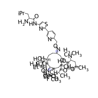 CCC(=O)/N=C1\[C@H](C)C[C@@]2(C)OC/C(=N/OCc3ccc(-c4nc(NC(=O)C(N)CC(C)C)cs4)cn3)CC[C@H]([C@H]1C)[C@](C)(O)[C@@H](CC)OC(=O)[C@@](C)(F)C(=O)C(C)[C@H]2O[C@@H]1O[C@H](C)CC(N(C)C)[C@H]1O